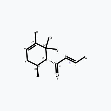 C/C=C/C(=O)[C@@H]1[C@@H](C)CC=C(C)C1(C)C